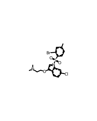 Cc1ccc(S(=O)(=O)n2cc(OCCN(C)C)c3ccc(Cl)cc32)c(Br)c1